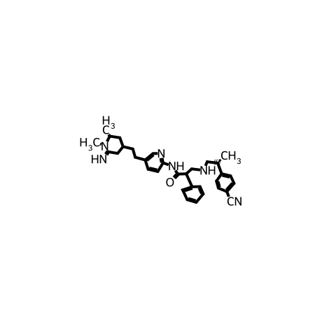 CC1CC(CCc2ccc(NC(=O)C(CNC[C@@H](C)c3ccc(C#N)cc3)c3ccccc3)nc2)CC(=N)N1C